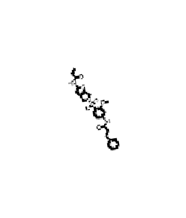 C=CC(=O)Nc1cc2c(s1)CN(S(=O)(=O)c1ccc(NC(=O)CCc3ccccc3)cc1OC)C2